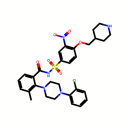 Cc1cccc(C(=O)NS(=O)(=O)c2ccc(OCC3CCNCC3)c([N+](=O)[O-])c2)c1N1CCN(c2ccccc2Cl)CC1